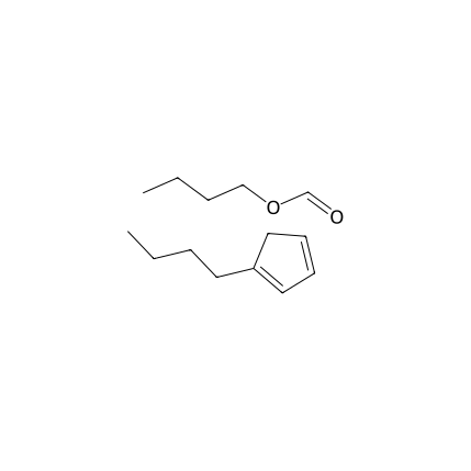 CCCCC1=CC=CC1.CCCCOC=O